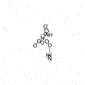 COCCOC(=O)N1CCc2c([nH]c3ccc(Cl)cc23)C1c1ccc(OCCCCn2cncn2)cc1